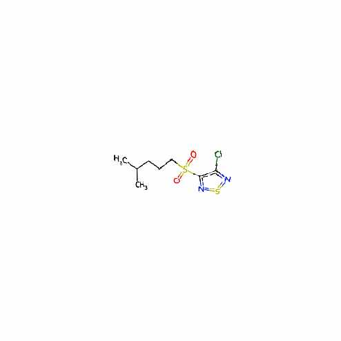 CC(C)CCCS(=O)(=O)c1nsnc1Cl